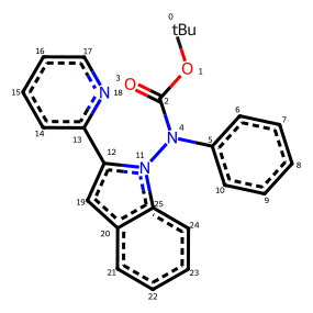 CC(C)(C)OC(=O)N(c1ccccc1)n1c(-c2ccccn2)cc2ccccc21